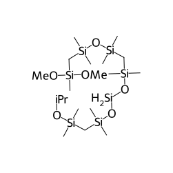 CO[Si](C)(C[Si](C)(C)O[Si](C)(C)C[Si](C)(C)O[SiH2]O[Si](C)(C)C[Si](C)(C)OC(C)C)OC